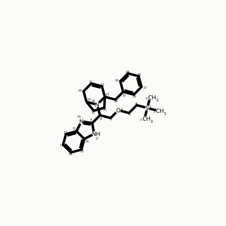 C[Si](C)(C)CCOCC(c1nc2ccccc2[nH]1)N1C2CC=CC1(Cc1ccccc1)CC2